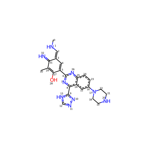 CN/C=C1/C=C(c2nc(-c3nnc[nH]3)c3cc(N4CCNCC4)ccc3n2)C(O)=C(C)C1=N